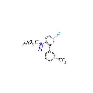 O=C(O)Nc1ccc(F)cc1-c1cccc(C(F)(F)F)c1